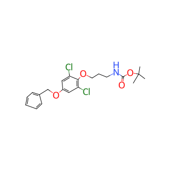 CC(C)(C)OC(=O)NCCCOc1c(Cl)cc(OCc2ccccc2)cc1Cl